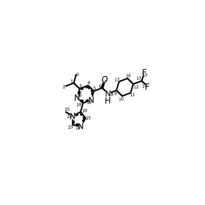 CC(C)c1cc(C(=O)NC2CCC(C(F)F)CC2)nc(-c2cncn2C)n1